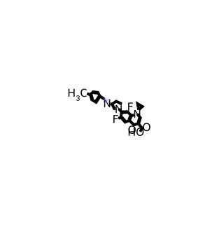 Cc1ccc(/C=N/C2CCN(c3c(F)cc4c(=O)c(C(=O)O)cn(C5CC5)c4c3F)C2)cc1